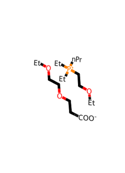 CCC[P+](CC)(CC)CCOCC.CCOCCOCCC(=O)[O-]